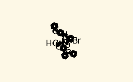 O=C(O)CC(NC(=O)c1cc(Br)ccc1OCc1ccc(Oc2ccccc2)cc1)c1ccc(-c2ccccc2Oc2ccccc2)cc1